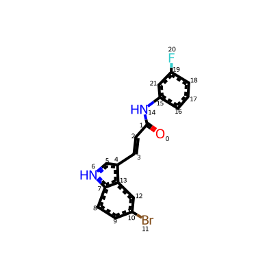 O=C(/C=C/c1c[nH]c2ccc(Br)cc12)Nc1cccc(F)c1